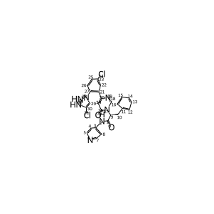 O=C(Nc1ccncc1)[C@H](Cc1ccccc1)n1cnc(-c2cc(Cl)ccc2N2C=C(Cl)NN2)cc1=O